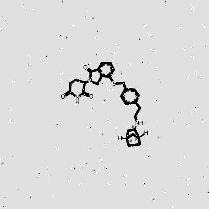 O=C1CCC(N2Cc3c(SCc4ccc(CCN[C@H]5C[C@H]6CC[C@@H]5C6)cc4)cccc3C2=O)C(=O)N1